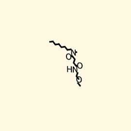 CCCCCCCCN(C)C(=O)CCC(=O)NCCOCC